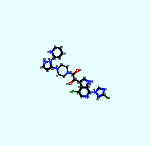 Cc1ncn(-c2ncc(F)c3c(C(=O)C(=O)N4CCN(c5ccnn5-c5ccccn5)CC4)c[nH]c23)n1